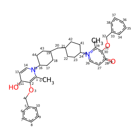 CC1=C(OCc2ccccc2)C(O)C=CN1C1CCC(CC2CCC(n3ccc(=O)c(OCc4ccccc4)c3C)CC2)CC1